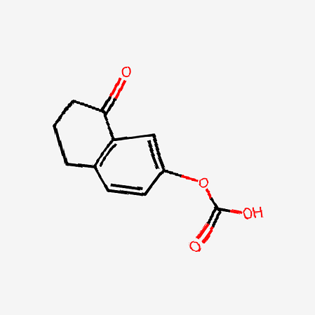 O=C(O)Oc1ccc2c(c1)C(=O)CCC2